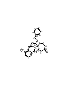 Cc1cccc2c(=O)n(C3(C(=O)OCc4ccccc4)CCCC(=O)NC3=O)cnc12